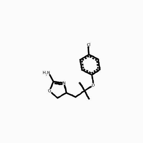 CC(C)(CC1COC(N)=N1)Oc1ccc(Cl)cc1